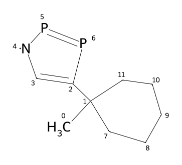 CC1(C2=C[N]P=P2)CCCCC1